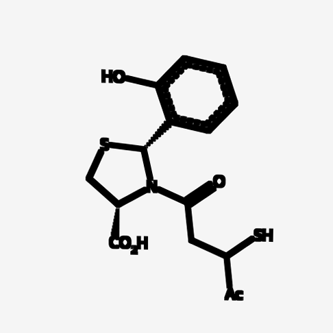 CC(=O)C(S)CC(=O)N1[C@@H](c2ccccc2O)SC[C@H]1C(=O)O